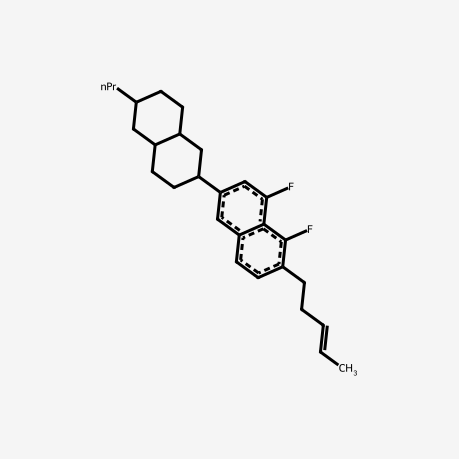 CC=CCCc1ccc2cc(C3CCC4CC(CCC)CCC4C3)cc(F)c2c1F